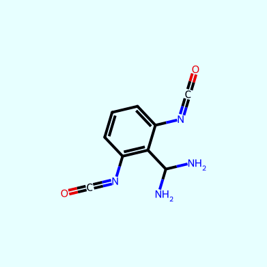 NC(N)c1c(N=C=O)cccc1N=C=O